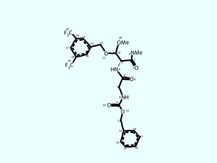 CNC(=O)[C@H](NC(=O)CNC(=O)OCc1ccccc1)C(OC)OCc1cc(C(F)(F)F)cc(C(F)(F)F)c1